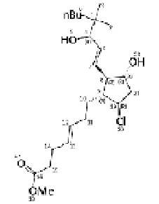 CCCCC(C)(C)[C@H](O)C=C[C@@H]1[C@@H](CCC=CCCC(=O)OC)[C@H](Cl)C[C@H]1O